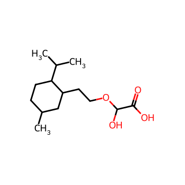 CC1CCC(C(C)C)C(CCOC(O)C(=O)O)C1